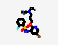 CN(C)CCCOc1ncc(Br)cc1NS(=O)(=O)c1ccccc1F